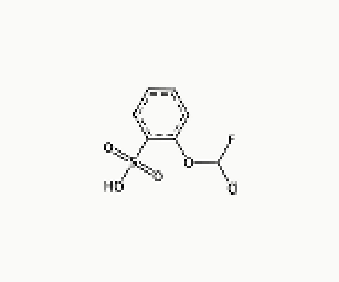 O=S(=O)(O)c1ccccc1OC(F)Cl